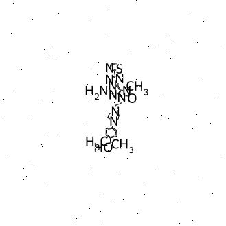 Cn1c(=O)n(CCN2CCN(c3ccc(C(C)(C)O)cc3)CC2)c2nc(N)n3nc(-c4nccs4)nc3c21